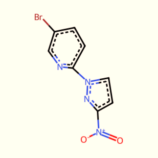 O=[N+]([O-])c1ccn(-c2ccc(Br)cn2)n1